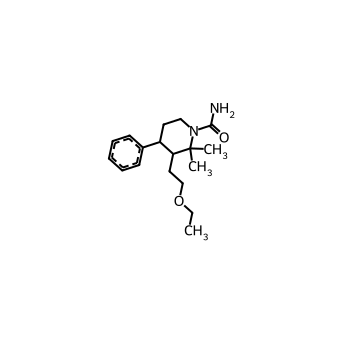 CCOCCC1C(c2ccccc2)CCN(C(N)=O)C1(C)C